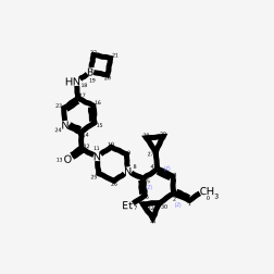 C\C=C(/C=C(\C(=C\CC)N1CCN(C(=O)c2ccc(NB3CCC3)cn2)CC1)C1CC1)C1CC1